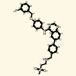 CS(=O)(=O)CCNCc1ccc(-c2ccc3ncnc(Nc4ccc(OCc5cccc(F)c5)cc4)c3c2)cc1